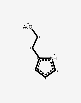 CC(=O)OCCc1ccc[nH]1